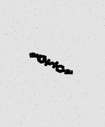 CC(C)(C)C1CCC(C(C)(C)CCC(C)(C)N2CCN(C(C)(C)C)CC2)CC1